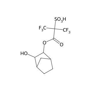 O=C(OC1C2CCC(C2)C1O)C(C(F)(F)F)(C(F)(F)F)S(=O)(=O)O